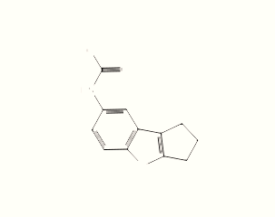 CC(C)(C)C(=O)Nc1ccc2oc3c(c2c1)CCC3